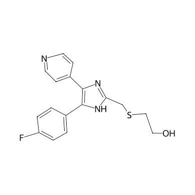 OCCSCc1nc(-c2ccncc2)c(-c2ccc(F)cc2)[nH]1